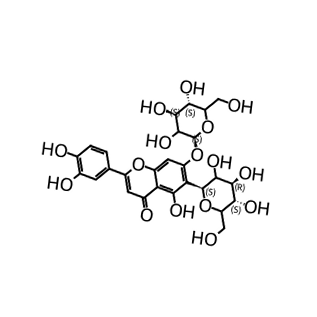 O=c1cc(-c2ccc(O)c(O)c2)oc2cc(O[C@@H]3OC(CO)[C@@H](O)[C@H](O)C3O)c([C@@H]3OC(CO)[C@@H](O)[C@H](O)C3O)c(O)c12